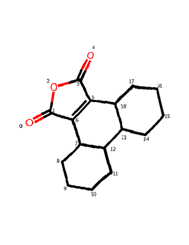 O=C1OC(=O)C2=C1C1CCCCC1C1CCCCC21